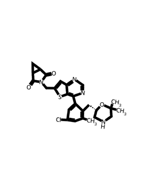 Cc1cc(Cl)cc(-c2ncnc3cc(CN4C(=O)C5CC5C4=O)sc23)c1C[C@H]1CNCC(C)(C)O1